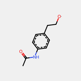 CC(=O)Nc1ccc(CC[O])cc1